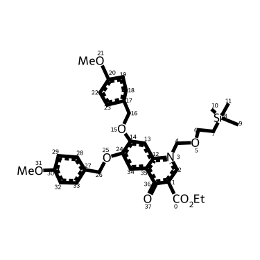 CCOC(=O)c1cn(COCC[Si](C)(C)C)c2cc(OCc3ccc(OC)cc3)c(OCc3ccc(OC)cc3)cc2c1=O